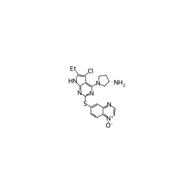 CCc1[nH]c2nc(Sc3ccc4c(c3)ncc[n+]4[O-])nc(N3CC[C@H](N)C3)c2c1Cl